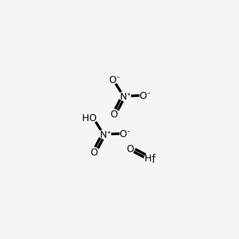 O=[N+]([O-])O.O=[N+]([O-])[O-].[O]=[Hf]